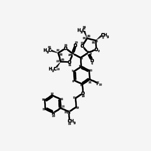 C[C@@H]1OP(=O)(C(c2ccc(OCCN(C)c3ccccn3)c(F)c2)P2(=O)O[C@@H](C)[C@@H](C)O2)O[C@@H]1C